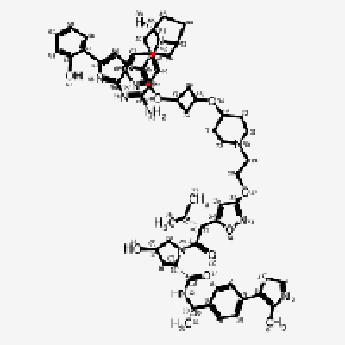 Cc1ncsc1-c1ccc([C@H](C)NC(=O)[C@@H]2C[C@@H](O)CN2C(=O)[C@@H](c2cc(OCCN3CCC(OC4CC(Oc5cc(N6C7CC[C@@H]6CN(c6cc(N)nc8nc(-c9ccccc9O)cn68)C7)ccn5)C4)CC3)no2)C(C)C)cc1